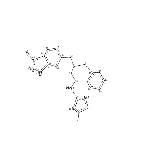 Cc1cnc(NCCC(Cc2ccccc2)Cc2ccc3c(=O)[nH][nH]c3c2)s1